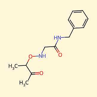 CC(=O)C(C)ONCC(=O)NCc1ccccc1